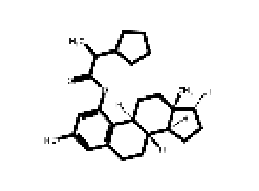 CC(C(=O)Oc1cc(O)cc2c1[C@H]1CC[C@]3(C)[C@H](O)CC[C@H]3[C@@H]1CC2)C1CCCC1